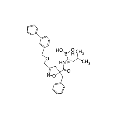 CC(C)C[C@H](NC(=O)C1(Cc2ccccc2)CC(COCc2cccc(-c3ccccc3)c2)=NO1)B(O)O